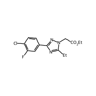 CCOC(=O)Cn1nc(-c2ccc(Cl)c(F)c2)nc1CC